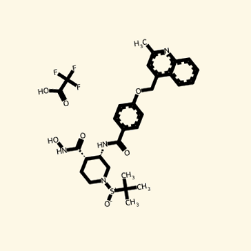 Cc1cc(COc2ccc(C(=O)N[C@@H]3CN([S+]([O-])C(C)(C)C)CC[C@@H]3C(=O)NO)cc2)c2ccccc2n1.O=C(O)C(F)(F)F